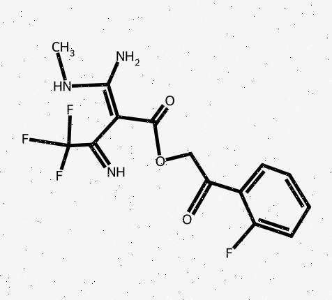 CN/C(N)=C(\C(=N)C(F)(F)F)C(=O)OCC(=O)c1ccccc1F